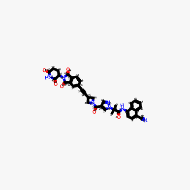 CC(C)(C(=O)Nc1ccc(C#N)c2ccccc12)n1cc(C(=O)N2CC(C#Cc3ccc4c(c3)C(=O)N(C3CCC(=O)NC3=O)C4=O)C2)cn1